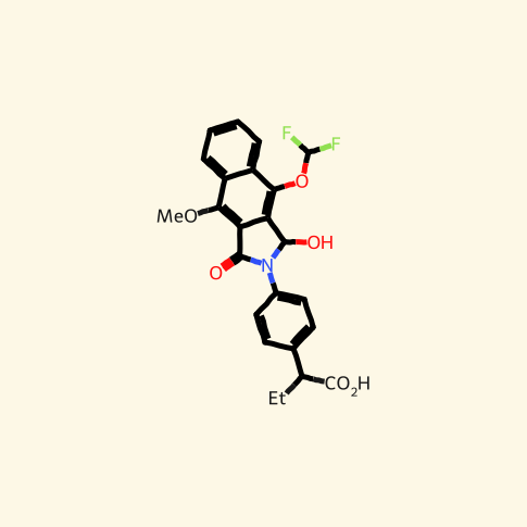 CCC(C(=O)O)c1ccc(N2C(=O)c3c(c(OC(F)F)c4ccccc4c3OC)C2O)cc1